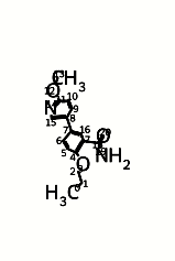 CCCOc1ccc(-c2ccc(OC)nc2)cc1C(N)=O